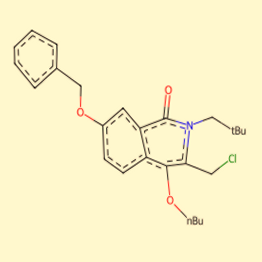 CCCCOc1c(CCl)n(CC(C)(C)C)c(=O)c2cc(OCc3ccccc3)ccc12